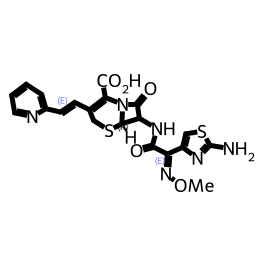 CO/N=C(/C(=O)NC1C(=O)N2C(C(=O)O)=C(/C=C/c3ccccn3)CS[C@H]12)c1csc(N)n1